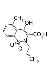 C=CCN1C(C(=O)O)=C(O)c2c(C)cccc2S1(=O)=O